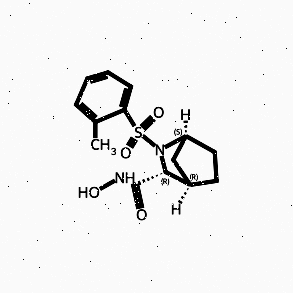 Cc1ccccc1S(=O)(=O)N1[C@H]2CC[C@H](C2)[C@@H]1C(=O)NO